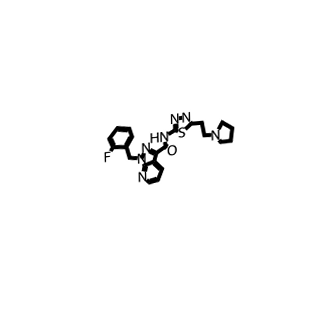 O=C(Nc1nnc(CCN2CCCC2)s1)c1nn(Cc2ccccc2F)c2ncccc12